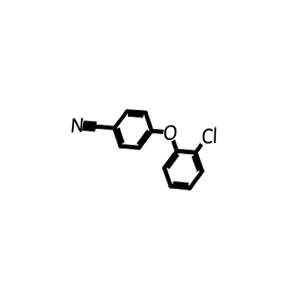 N#Cc1ccc(Oc2ccccc2Cl)cc1